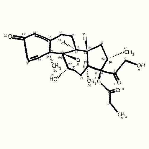 CCC(=O)O[C@]1(C(=O)CO)[C@@H](C)C[C@H]2[C@@H]3CCC4=CC(=O)C=C[C@]4(C)[C@@]3(Cl)[C@@H](O)C[C@@]21C